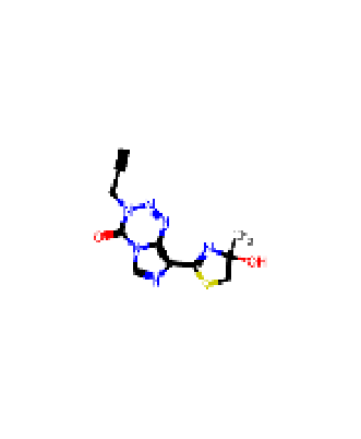 C#CCn1nnc2c(C3=NC(O)(C(F)(F)F)CS3)ncn2c1=O